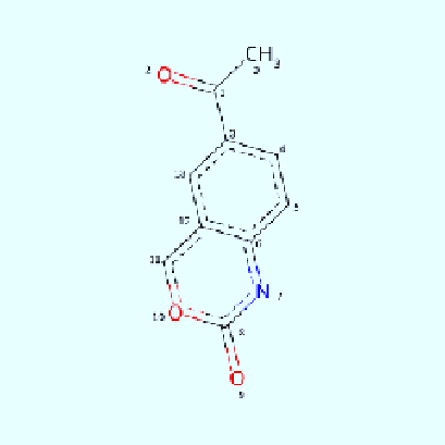 CC(=O)c1ccc2nc(=O)occ2c1